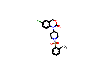 O=C1OCc2cc(Cl)ccc2N1C1CCN(S(=O)(=O)c2ccccc2[N+](=O)[O-])CC1